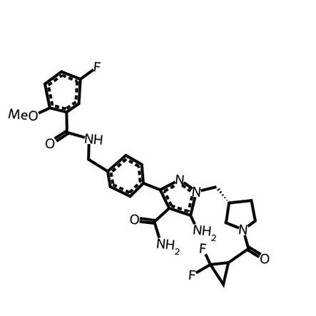 COc1ccc(F)cc1C(=O)NCc1ccc(-c2nn(C[C@@H]3CCN(C(=O)C4CC4(F)F)C3)c(N)c2C(N)=O)cc1